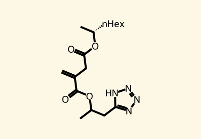 C=C(CC(=O)O[C@H](C)CCCCCC)C(=O)OC(C)Cc1nnn[nH]1